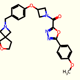 COc1ccc(-c2nnc(C(=O)N3CC(Oc4ccc(CN5CC6(CCOC6)C5)cc4)C3)o2)cc1